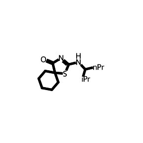 CCCC(NC1=NC(=O)C2(CCCCC2)S1)C(C)C